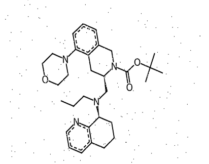 CCCN(C[C@H]1Cc2c(cccc2N2CCOCC2)CN1C(=O)OC(C)(C)C)[C@H]1CCCc2cccnc21